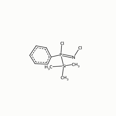 C[Si](C)(C)P(Cl)(=NCl)c1ccccc1